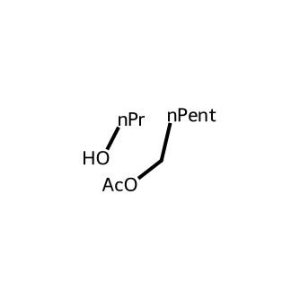 CCCCCCOC(C)=O.CCCO